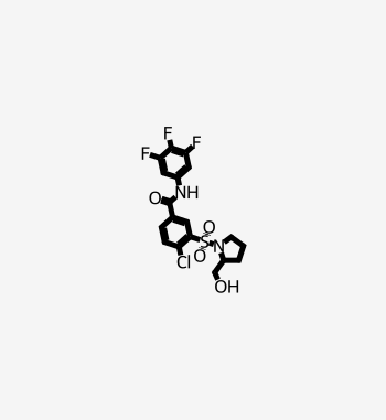 O=C(Nc1cc(F)c(F)c(F)c1)c1ccc(Cl)c(S(=O)(=O)N2CCCC2CO)c1